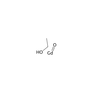 CCO.[O]=[Gd]